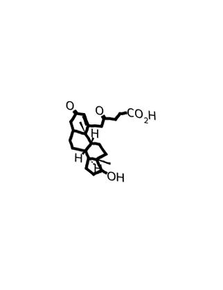 C[C@]12C(CC(=O)CCC(=O)O)=CC(=O)CC1CC[C@@H]1[C@H]2CC[C@]2(C)C(O)CC[C@@H]12